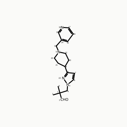 CC(C)(C=O)Cn1ccc(C2CCN(Cc3cccnc3)CC2)n1